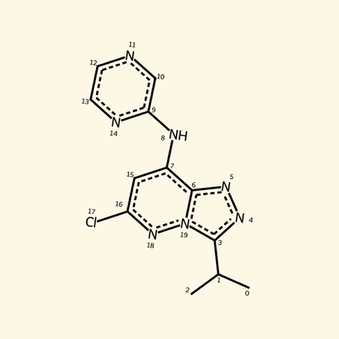 CC(C)c1nnc2c(Nc3cnccn3)cc(Cl)nn12